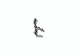 C=CC1CCC(C2CCC(c3cc(-c4ccc(OC(=O)C(=C)C)cc4)ccc3-c3ccc(OC(=O)C(=C)COC)cc3)CC2)CC1